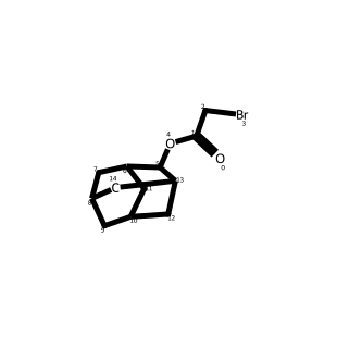 O=C(CBr)OC1C2CC3CC(C2)CC1C3